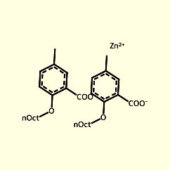 CCCCCCCCOc1ccc(C)cc1C(=O)[O-].CCCCCCCCOc1ccc(C)cc1C(=O)[O-].[Zn+2]